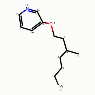 CC(C)CCCC(C)CCOc1cccnc1